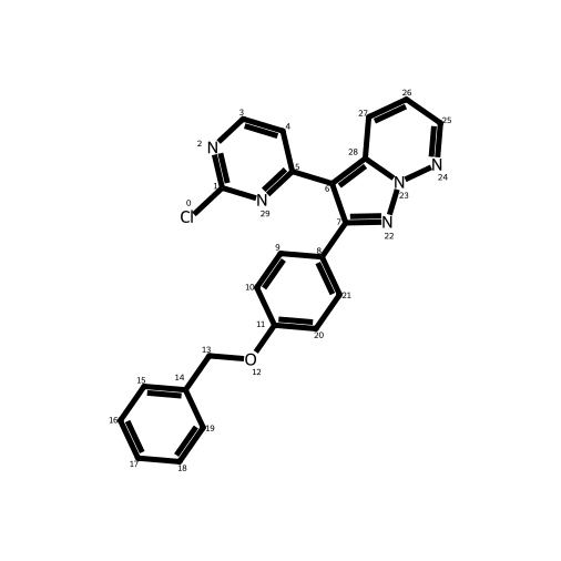 Clc1nccc(-c2c(-c3ccc(OCc4ccccc4)cc3)nn3ncccc23)n1